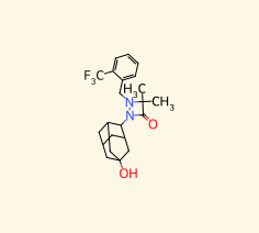 CC1(C)C(=O)N(C2C3CC4CC2CC(O)(C4)C3)N1Cc1ccccc1C(F)(F)F